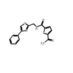 O=C(NCc1nc(-c2ccccc2)cs1)c1ccc(C(=O)C(F)(F)F)s1